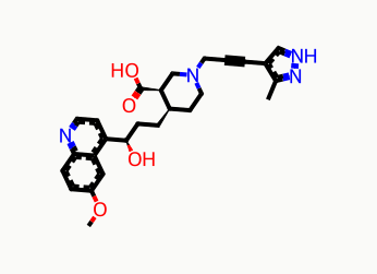 COc1ccc2nccc([C@H](O)CC[C@@H]3CCN(CC#Cc4c[nH]nc4C)C[C@@H]3C(=O)O)c2c1